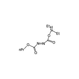 CCCOC(=O)N=NC(=O)O[SiH](CC)CC